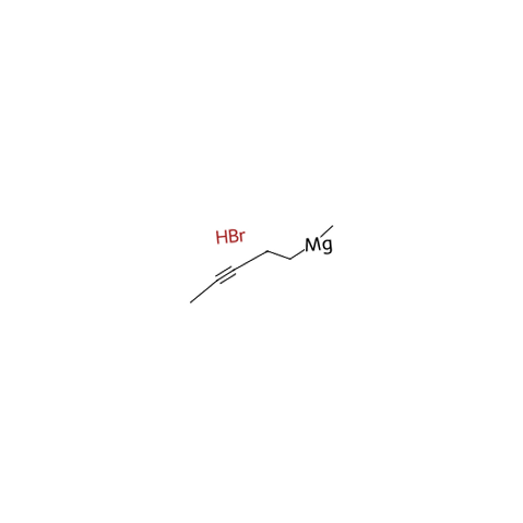 Br.CC#CC[CH2][Mg][CH3]